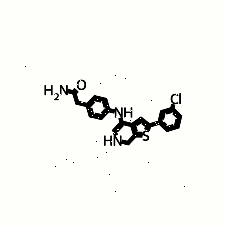 NC(=O)Cc1ccc(NC2=CNCc3sc(-c4cccc(Cl)c4)cc32)cc1